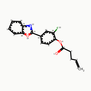 C=CCCC(=O)Oc1ccc(-c2nc3ccccc3o2)cc1F